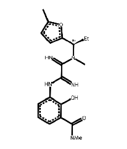 CC[C@H](c1ccc(C)o1)N(C)C(=N)C(=N)Nc1cccc(C(=O)NC)c1O